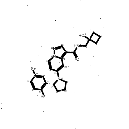 O=C(NCC1(O)CCC1)c1cnn2ccc(N3CCC[C@@H]3c3cc(F)ccc3F)cc12